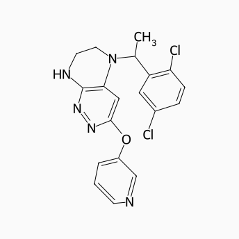 CC(c1cc(Cl)ccc1Cl)N1CCNc2nnc(Oc3cccnc3)cc21